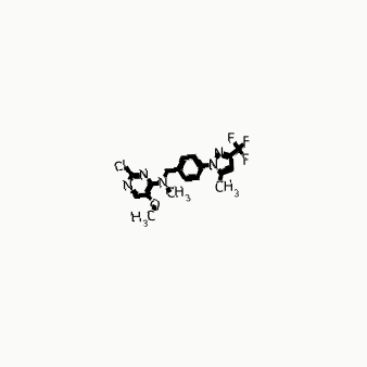 COc1cnc(Cl)nc1N(C)Cc1ccc(-n2nc(C(F)(F)F)cc2C)cc1